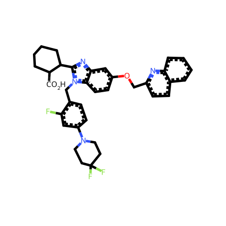 O=C(O)C1CCCCC1c1nc2cc(OCc3ccc4ccccc4n3)ccc2n1Cc1ccc(N2CCC(F)(F)CC2)cc1F